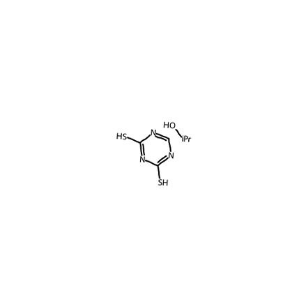 CC(C)O.Sc1ncnc(S)n1